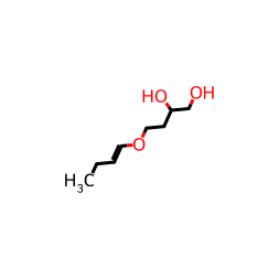 CCC=COCCC(O)CO